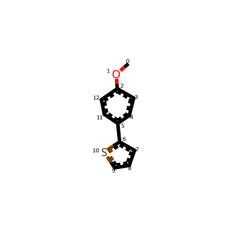 COc1ccc(-c2cc[c]s2)cc1